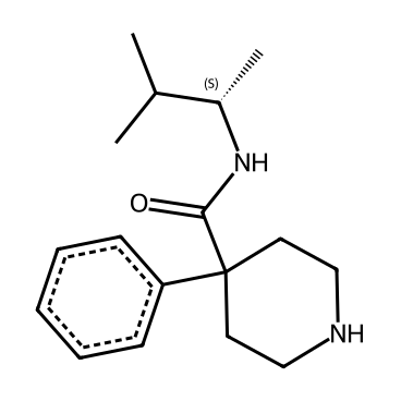 CC(C)[C@H](C)NC(=O)C1(c2ccccc2)CCNCC1